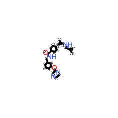 O=C(NCc1cccc(Oc2cnccn2)c1)c1ccc([C@@H]2C[C@H]2NCC2CC2)cc1